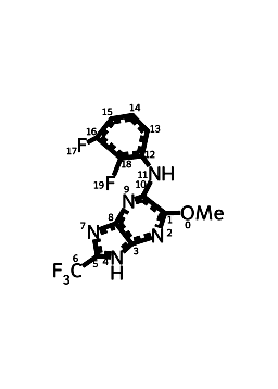 COc1nc2[nH]c(C(F)(F)F)nc2nc1Nc1cccc(F)c1F